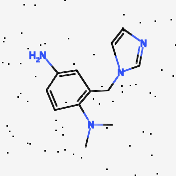 CN(C)c1ccc(N)cc1Cn1ccnc1